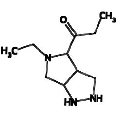 CCC(=O)C1C2CNNC2CN1CC